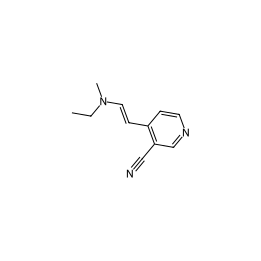 CCN(C)/C=C/c1ccncc1C#N